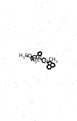 CCOC(=O)CC(C=O)c1ccccc1N(C)C1CCN([C@H]2c3cccc4cccc(c34)[C@H]2C)CC1